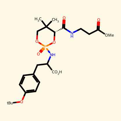 COC(=O)CCNC(=O)[C@@H]1OP(=O)(NC(Cc2ccc(OC(C)(C)C)cc2)C(=O)O)OCC1(C)C